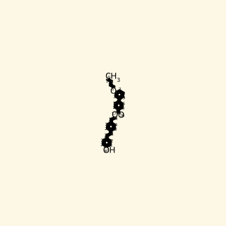 CCCCCOc1cccc(-c2ccc(C(=O)OCCc3ccc(CCc4ccc(O)cc4)cc3)cc2)c1